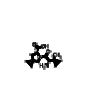 CC1([C@H](N)C(=O)N2CC3(CC3)C[C@H]2C(=O)O)CC1